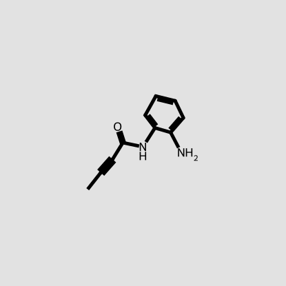 CC#CC(=O)Nc1ccccc1N